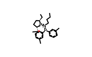 CCCCN(P(c1cccc(C)c1)c1cccc(C)c1)P1[C@H](CC)CC[C@H]1CC